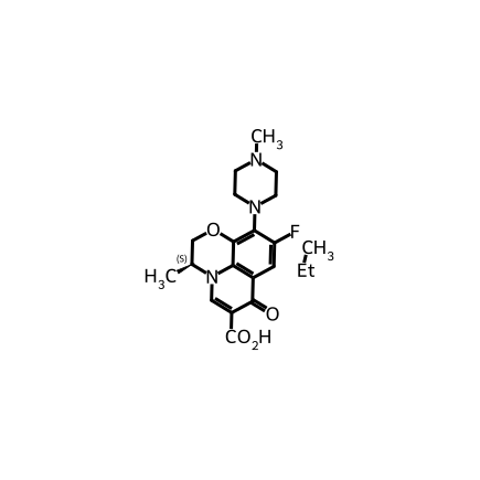 CCC.C[C@H]1COc2c(N3CCN(C)CC3)c(F)cc3c(=O)c(C(=O)O)cn1c23